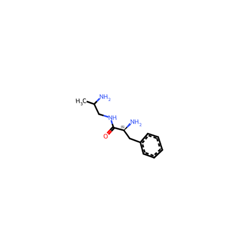 CC(N)CNC(=O)[C@@H](N)Cc1ccccc1